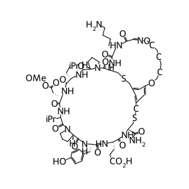 COOC(=O)C[C@@H]1NC(=O)[C@H](CC(C)C)NC(=O)[C@@H]2CCCN2C(=O)[C@@H]2CSCc3cc(cc(c3)OCCCCCCO/N=C/C(=O)N[C@@H](CCCCN)C(=O)N2)CSC[C@@H](C(N)=O)NC(=O)[C@H](CCC(=O)O)NC(=O)[C@H](Cc2ccc(O)cc2)NC(=O)[C@@H]2CCCN2C(=O)C(C(C)C)NC1=O